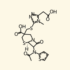 CC(=O)N(c1cccs1)C1C(=O)N2CC(CSc3nnc(CC(=O)O)n3C)(C(=O)O)CS[C@H]12